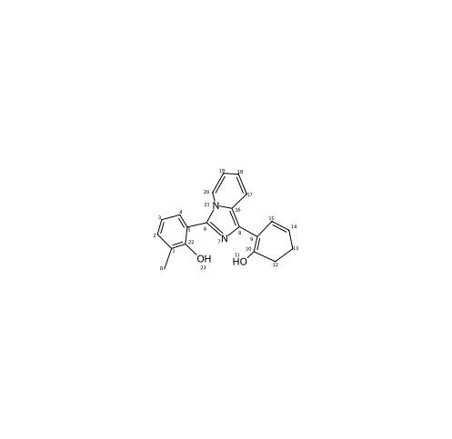 Cc1cccc(-c2nc(C3=C(O)CCC=C3)c3ccccn23)c1O